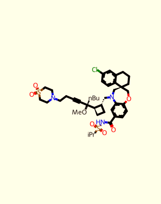 CCCC[C@](C#CCCN1CCS(=O)(=O)CC1)(OC)[C@@H]1CC[C@H]1CN1C[C@@]2(CCCc3cc(Cl)ccc32)COc2ccc(C(=O)NS(=O)(=O)C(C)C)cc21